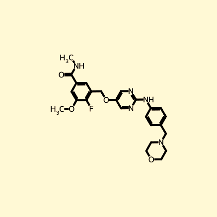 CNC(=O)c1cc(COc2cnc(Nc3ccc(CN4CCOCC4)cc3)nc2)c(F)c(OC)c1